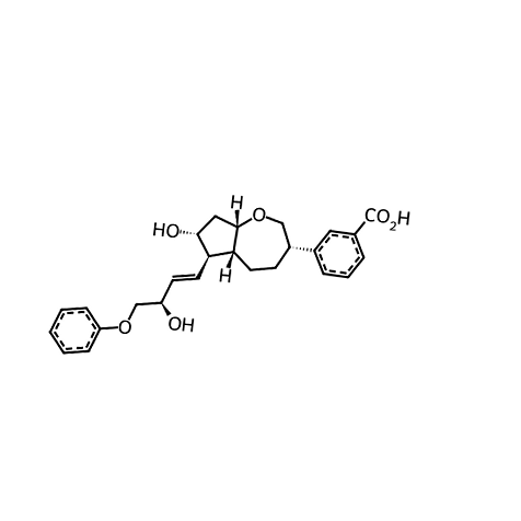 O=C(O)c1cccc([C@@H]2CC[C@@H]3[C@@H](/C=C/[C@@H](O)COc4ccccc4)[C@H](O)C[C@@H]3OC2)c1